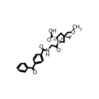 COC[C@@]1(F)C[C@@H](C(=O)O)N(C(=O)CNC(=O)c2ccc(C(=O)c3ccccc3)cc2)C1